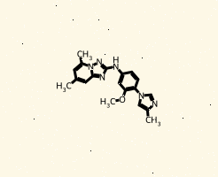 COc1cc(Nc2nc3cc(C)cc(C)n3n2)ccc1-n1cnc(C)c1